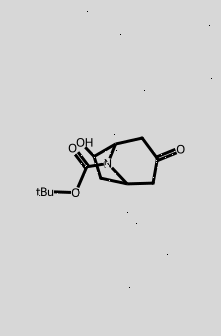 CC(C)(C)OC(=O)N1C2CC(=O)CC1C(O)C2